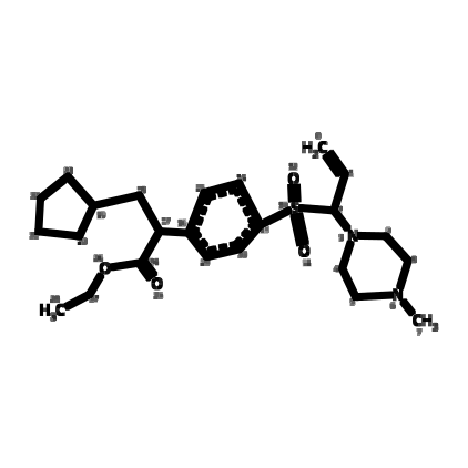 C=CC(N1CCN(C)CC1)S(=O)(=O)c1ccc(C(CC2CCCC2)C(=O)OCC)cc1